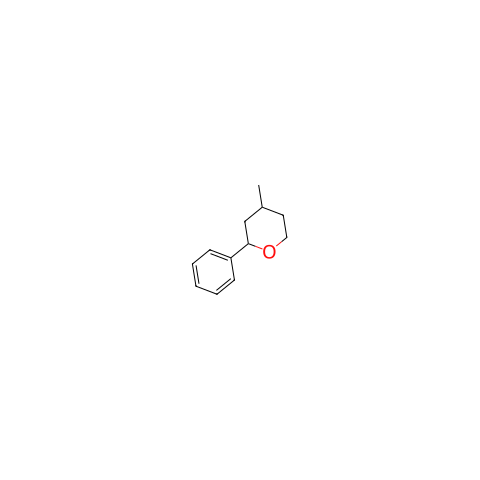 CC1CCOC(c2ccccc2)C1